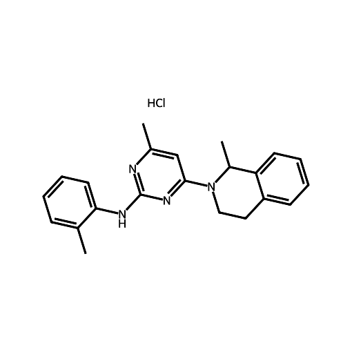 Cc1cc(N2CCc3ccccc3C2C)nc(Nc2ccccc2C)n1.Cl